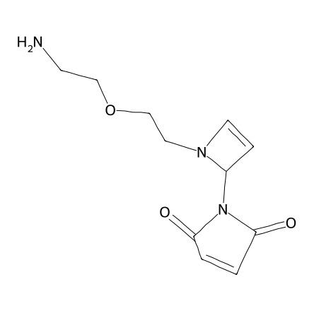 NCCOCCN1C=CC1N1C(=O)C=CC1=O